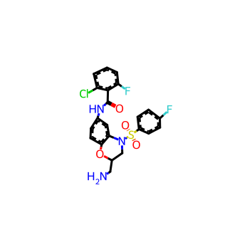 NCC1CN(S(=O)(=O)c2ccc(F)cc2)c2cc(NC(=O)c3c(F)cccc3Cl)ccc2O1